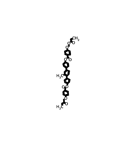 C=CC(=O)COc1ccc(C(=O)Oc2ccc(-c3ccc(-c4ccc(OC(=O)c5ccc(OCOC(=O)C=C)cc5)cc4)cc3C)cc2)cc1